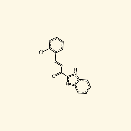 O=C(/C=C/c1ccccc1Cl)c1nc2ccccc2[nH]1